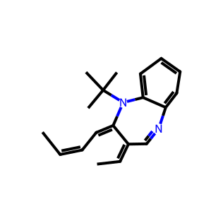 C\C=C/C=C1\C(=C/C)C=Nc2ccccc2N1C(C)(C)C